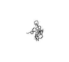 CCCOc1ccc(C(=O)N2CCCCC2)c(NS(=O)(=O)c2cccc3nsnc23)c1